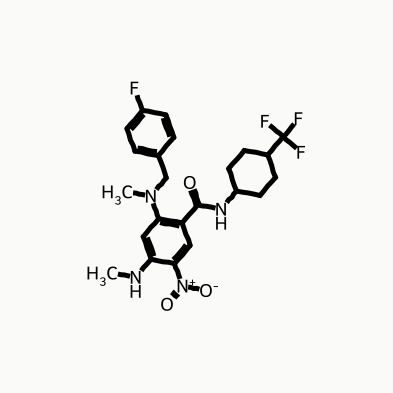 CNc1cc(N(C)Cc2ccc(F)cc2)c(C(=O)NC2CCC(C(F)(F)F)CC2)cc1[N+](=O)[O-]